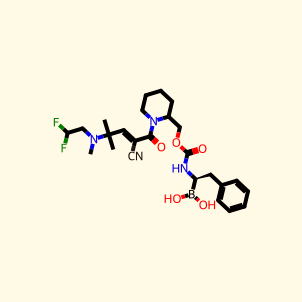 CN(CC(F)F)C(C)(C)C=C(C#N)C(=O)N1CCCCC1COC(=O)N[C@@H](Cc1ccccc1)B(O)O